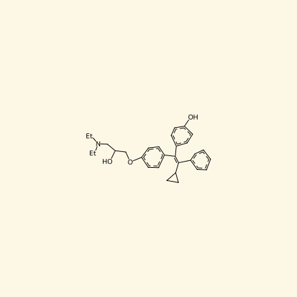 CCN(CC)CC(O)COc1ccc(C(=C(c2ccccc2)C2CC2)c2ccc(O)cc2)cc1